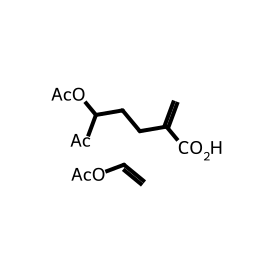 C=C(CCC(OC(C)=O)C(C)=O)C(=O)O.C=COC(C)=O